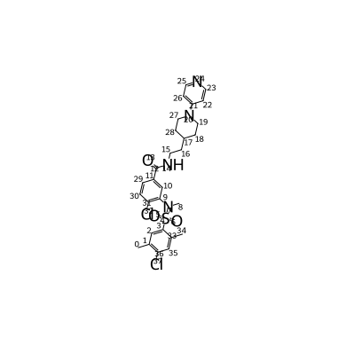 Cc1cc(S(=O)(=O)N(C)c2cc(C(=O)NCCC3CCN(c4ccncc4)CC3)ccc2Cl)c(C)cc1Cl